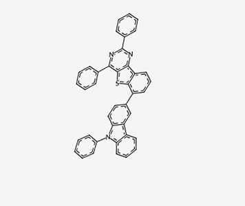 c1ccc(-c2nc(-c3ccccc3)c3sc4c(-c5ccc6c(c5)c5ccccc5n6-c5ccccc5)cccc4c3n2)cc1